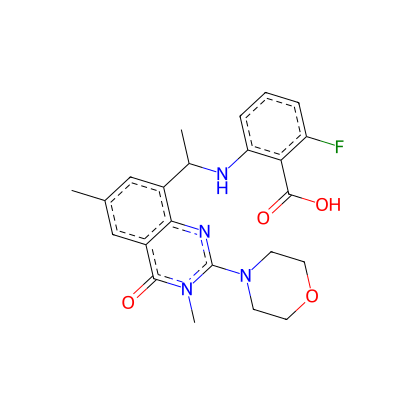 Cc1cc(C(C)Nc2cccc(F)c2C(=O)O)c2nc(N3CCOCC3)n(C)c(=O)c2c1